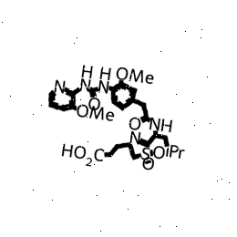 COc1cc(CC(=O)NC(CC(C)C)C2=NC(CCC(=O)O)CS2(=O)=O)ccc1NC(=O)Nc1ncccc1OC